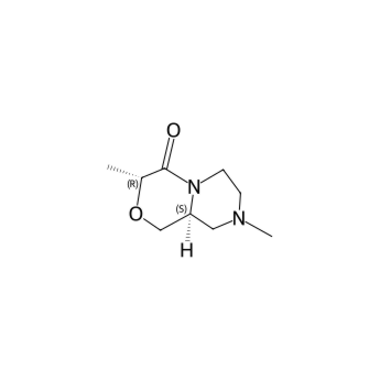 C[C@H]1OC[C@@H]2CN(C)CCN2C1=O